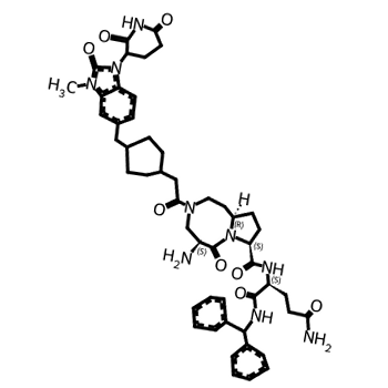 Cn1c(=O)n(C2CCC(=O)NC2=O)c2ccc(CC3CCC(CC(=O)N4CC[C@H]5CC[C@@H](C(=O)N[C@@H](CCC(N)=O)C(=O)NC(c6ccccc6)c6ccccc6)N5C(=O)[C@@H](N)C4)CC3)cc21